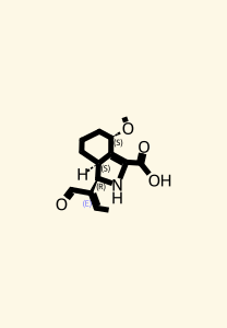 C/C=C(/C=O)[C@@H]1NC(C(=O)O)=C2[C@@H](OC)CCC[C@@H]21